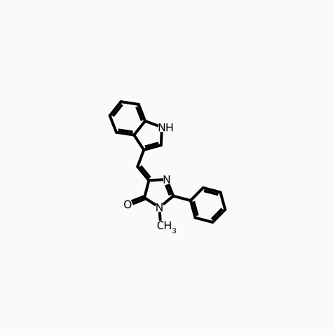 CN1C(=O)/C(=C/c2c[nH]c3ccccc23)N=C1c1ccccc1